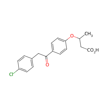 CC(CC(=O)O)Oc1ccc(C(=O)Cc2ccc(Cl)cc2)cc1